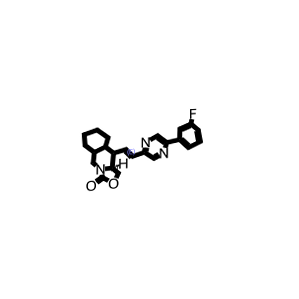 O=C1OC[C@@H]2C(/C=C/c3cnc(-c4cccc(F)c4)cn3)C3CCCCC3CN12